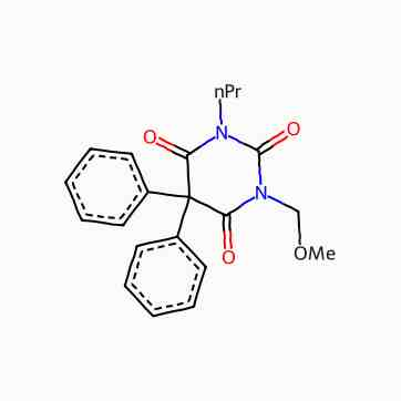 CCCN1C(=O)N(COC)C(=O)C(c2ccccc2)(c2ccccc2)C1=O